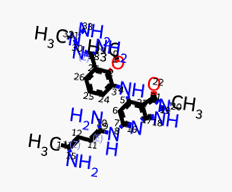 COc1c(Nc2cc(N/C(N)=C/C=C(/C)N)nc3[nH]n(C)c(=O)c23)cccc1/C(N)=N/N(C)N